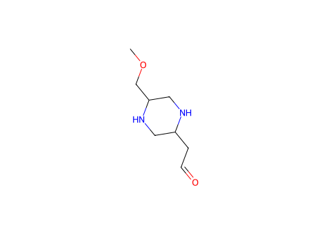 COCC1CNC(CC=O)CN1